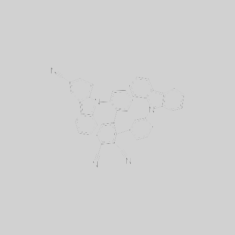 N#Cc1ccc2c(c1)c1ccccc1n2-c1ccccc1-c1ccc(C#N)c(C#N)c1-c1cccc(-n2c3ccccc3c3ccccc32)c1